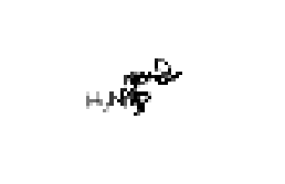 CCn1cccc(Cn2cc(-c3nc(N)nc4c(OC)cccc34)nn2)c1=O